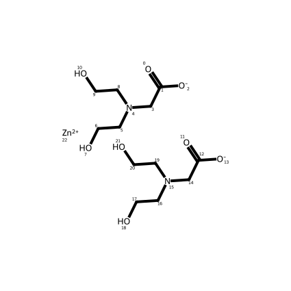 O=C([O-])CN(CCO)CCO.O=C([O-])CN(CCO)CCO.[Zn+2]